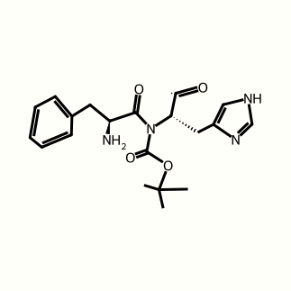 CC(C)(C)OC(=O)N(C(=O)[C@@H](N)Cc1ccccc1)[C@H]([C]=O)Cc1c[nH]cn1